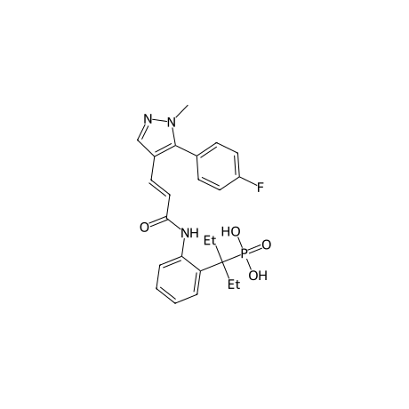 CCC(CC)(c1ccccc1NC(=O)/C=C/c1cnn(C)c1-c1ccc(F)cc1)P(=O)(O)O